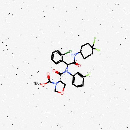 CC(C)(C)OC(=O)N1COC[C@H]1C(=O)N(c1cccc(F)c1)[C@H](C(=O)NC1CCC(F)(F)CC1)c1ccccc1Cl